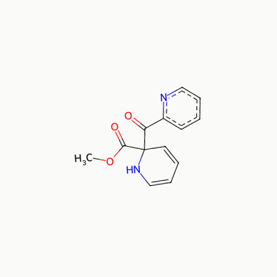 COC(=O)C1(C(=O)c2ccccn2)C=CC=CN1